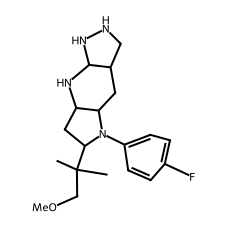 COCC(C)(C)C1CC2NC3NNCC3CC2N1c1ccc(F)cc1